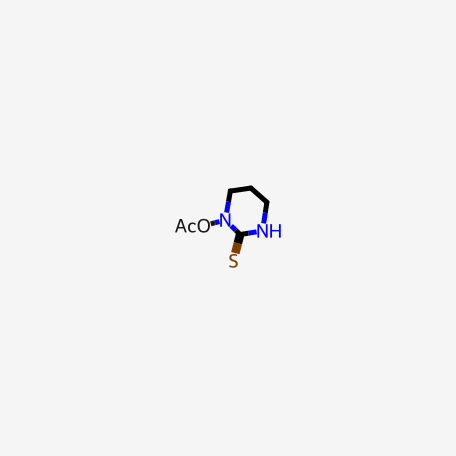 CC(=O)ON1CCCNC1=S